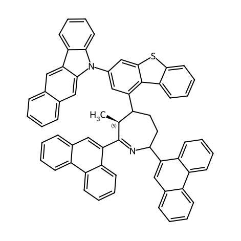 C[C@@H]1C(c2cc3ccccc3c3ccccc23)=NC(c2cc3ccccc3c3ccccc23)CCC1c1cc(-n2c3ccccc3c3cc4ccccc4cc32)cc2sc3ccccc3c12